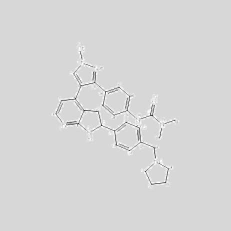 CCn1cc(-c2ccnc3c2CC(c2ccc(CN4CCCC4)cc2)N3)c(-c2ccc(NC(=O)N(C)C)cc2)n1